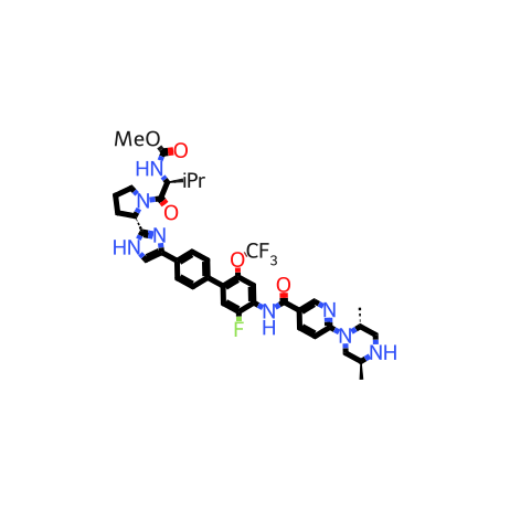 COC(=O)N[C@H](C(=O)N1CCC[C@H]1c1nc(-c2ccc(-c3cc(F)c(NC(=O)c4ccc(N5C[C@H](C)NC[C@H]5C)nc4)cc3OC(F)(F)F)cc2)c[nH]1)C(C)C